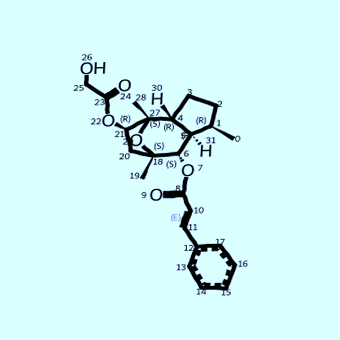 C[C@@H]1CC[C@@H]2[C@@H]1[C@H](OC(=O)/C=C/c1ccccc1)[C@]1(C)C[C@@H](OC(=O)CO)[C@@]2(C)O1